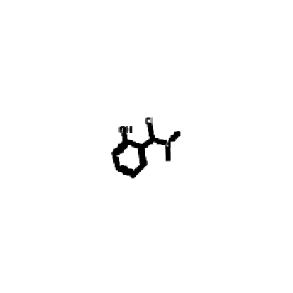 CN(C)C(Cl)c1ccccc1O